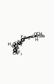 CC(NC(=O)COCCOCCOc1ccc(-c2ncc(N3C(=S)N(c4ccc(C#N)c(C(F)(F)F)c4F)C(=O)C3(C)C)cc2F)cc1F)C(C)(C)C